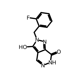 O=c1[nH]ncc2c(O)n(Cc3ccccc3F)nc12